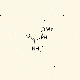 COPC(N)=O